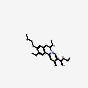 C=C1C=C2c3cc(CC)c(CCCC)cc3CC(CC)N2C=C1C(=C)CCC